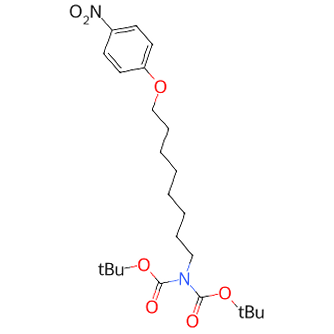 CC(C)(C)OC(=O)N(CCCCCCCCOc1ccc([N+](=O)[O-])cc1)C(=O)OC(C)(C)C